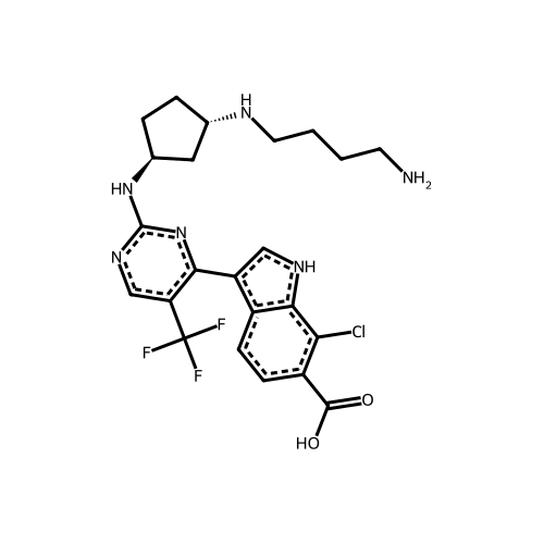 NCCCCN[C@H]1CC[C@H](Nc2ncc(C(F)(F)F)c(-c3c[nH]c4c(Cl)c(C(=O)O)ccc34)n2)C1